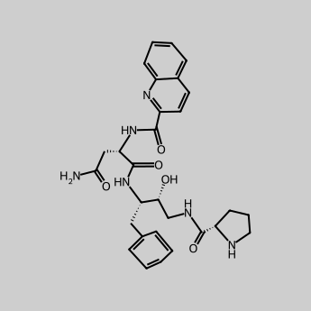 NC(=O)C[C@H](NC(=O)c1ccc2ccccc2n1)C(=O)N[C@@H](Cc1ccccc1)[C@H](O)CNC(=O)[C@@H]1CCCN1